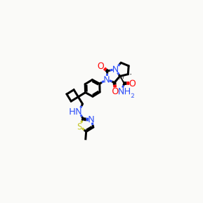 Cc1cnc(NCC2(c3ccc(N4C(=O)N5CC[CH][C@]5(C(N)=O)C4=O)cc3)CCC2)s1